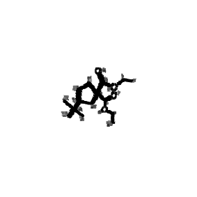 CCOC(=O)C1(C(=O)OCC)CC=C(C(C)(C)C)C1